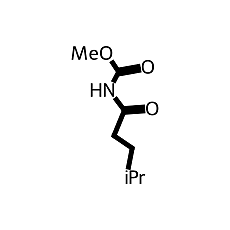 COC(=O)NC(=O)CCC(C)C